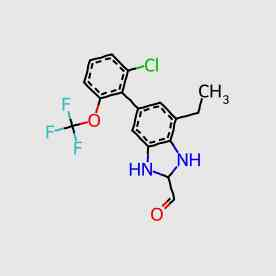 CCc1cc(-c2c(Cl)cccc2OC(F)(F)F)cc2c1NC(C=O)N2